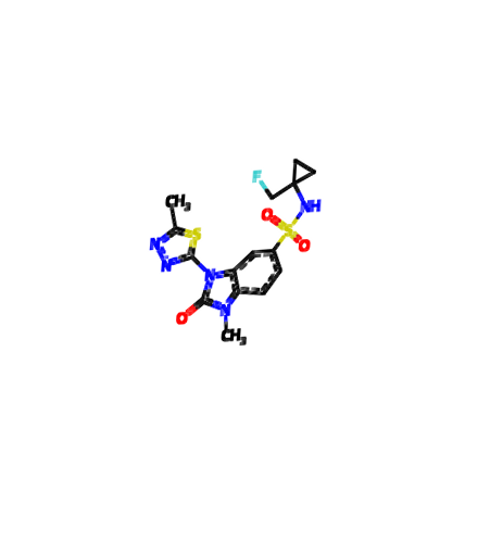 Cc1nnc(-n2c(=O)n(C)c3ccc(S(=O)(=O)NC4(CF)CC4)cc32)s1